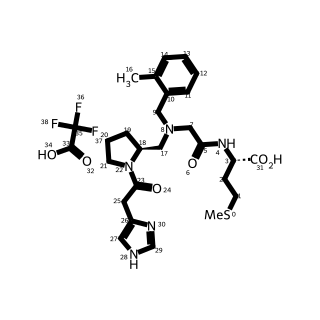 CSCC[C@H](NC(=O)CN(Cc1ccccc1C)C[C@@H]1CCCN1C(=O)Cc1c[nH]cn1)C(=O)O.O=C(O)C(F)(F)F